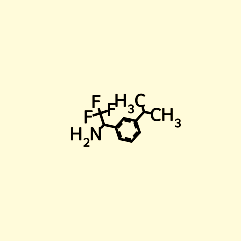 CC(C)c1cccc(C(N)C(F)(F)F)c1